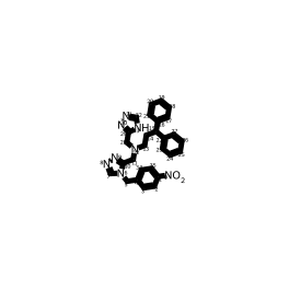 O=[N+]([O-])c1ccc(Cn2cnnc2CN(CCC(c2ccccc2)c2ccccc2)Cc2nnc[nH]2)cc1